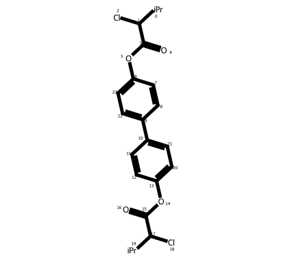 CC(C)C(Cl)C(=O)Oc1ccc(-c2ccc(OC(=O)C(Cl)C(C)C)cc2)cc1